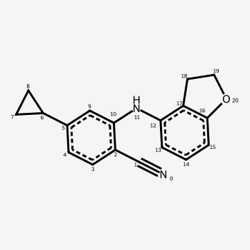 N#Cc1ccc(C2CC2)cc1Nc1cccc2c1CCO2